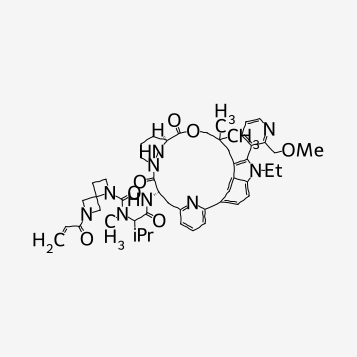 C=CC(=O)N1CC2(CCN2C(=O)N(C)C(C(=O)N[C@H]2Cc3cccc(n3)-c3ccc4c(c3)c(c(-c3cccnc3COC)n4CC)CC(C)(C)COC(=O)[C@@H]3CCCN(N3)C2=O)C(C)C)C1